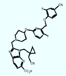 N#CCC1(Cn2c(CN3CCC(Oc4ccc(F)c(COc5ccc(C#N)cc5F)n4)CC3)nc3ccc(C(=O)O)nc32)CC1